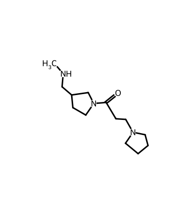 CNCC1CCN(C(=O)CCN2CCCC2)C1